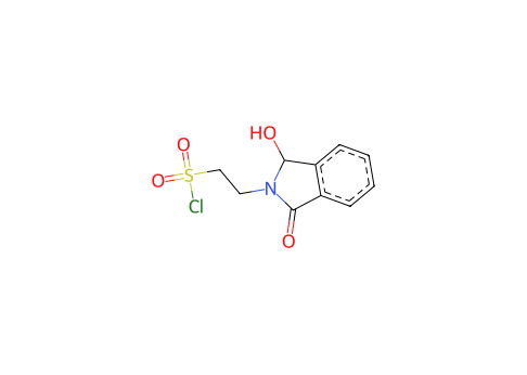 O=C1c2ccccc2C(O)N1CCS(=O)(=O)Cl